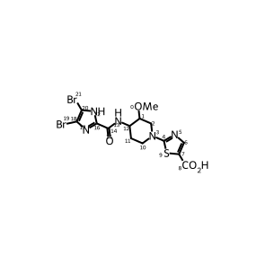 COC1CN(c2ncc(C(=O)O)s2)CCC1NC(=O)c1nc(Br)c(Br)[nH]1